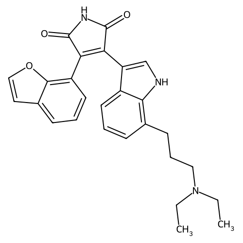 CCN(CC)CCCc1cccc2c(C3=C(c4cccc5ccoc45)C(=O)NC3=O)c[nH]c12